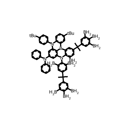 Bc1cc(C(C)(C)c2cc(B)c(N3c4cc(N(c5ccccc5)c5ccccc5)cc5c4B(c4cc(C(C)(C)C)ccc4N5c4ccc(C(C)(C)C)cc4)c4cc(C(C)(C)c5cc(B)c(B)c(B)c5)cc(B)c43)c(B)c2)cc(B)c1B